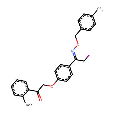 COc1ccccc1C(=O)COc1ccc(C(CI)=NOCc2ccc(C(F)(F)F)cc2)cc1